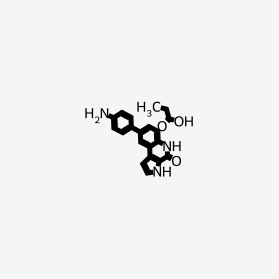 CCC(=O)O.Nc1ccc(-c2ccc3[nH]c(=O)c4[nH]ccc4c3c2)cc1